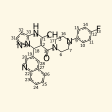 CC1=C(C(=O)N2CCN(c3ccc(F)cc3)CC2)C(c2cnc3ccccc3c2)n2nccc2N1